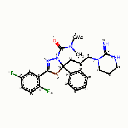 CON(C)C(=O)N1N=C(c2cc(F)ccc2F)SC1(CCCN1CCCNC1=N)c1ccccc1